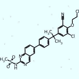 CC(C)(c1ccc(-c2ccc3nc(NS(C)(=O)=O)ncc3c2)cc1)c1cc(Cl)c(OCCCl)c(C#N)c1